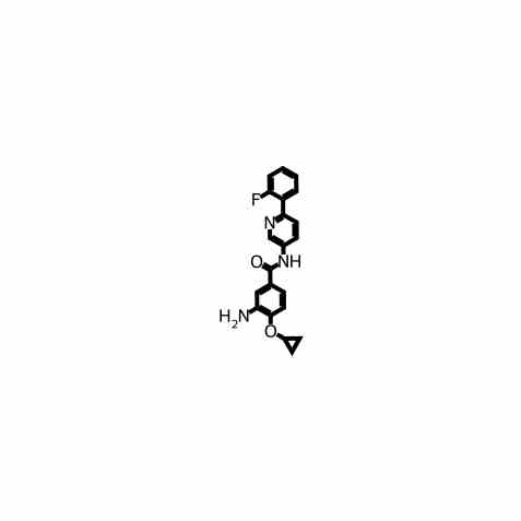 Nc1cc(C(=O)Nc2ccc(-c3ccccc3F)nc2)ccc1OC1CC1